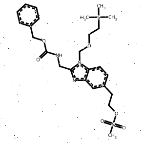 CS(C)(C)CCOCn1c(CNC(=O)OCc2ccccc2)nc2cc(CCOS(C)(=O)=O)ccc21